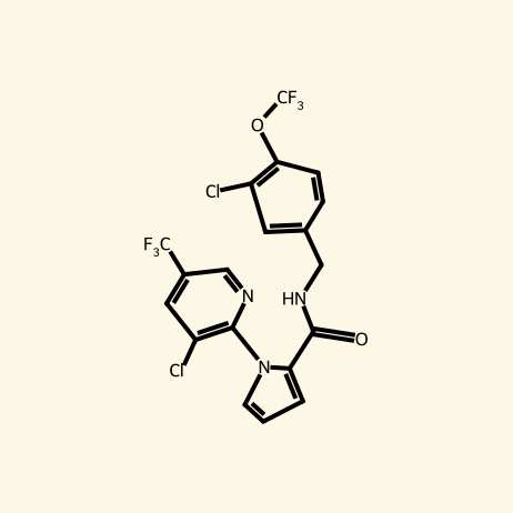 O=C(NCc1ccc(OC(F)(F)F)c(Cl)c1)c1cccn1-c1ncc(C(F)(F)F)cc1Cl